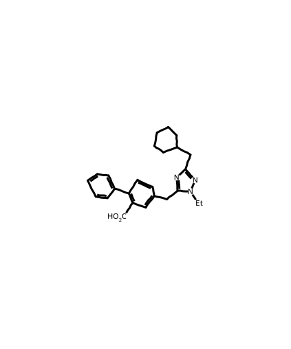 CCn1nc(CC2CCCCC2)nc1Cc1ccc(-c2ccccc2)c(C(=O)O)c1